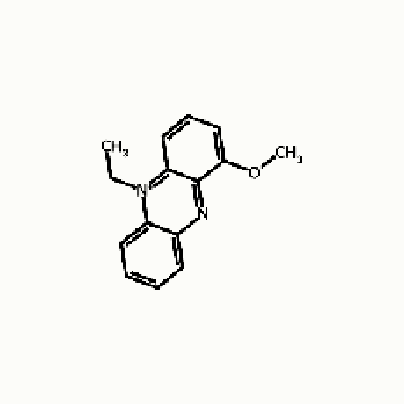 CC[n+]1c2ccccc2nc2c(OC)cccc21